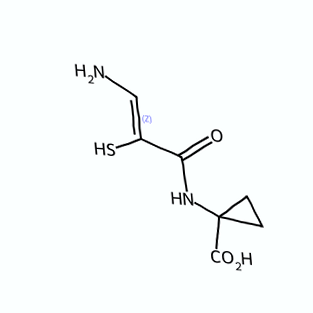 N/C=C(\S)C(=O)NC1(C(=O)O)CC1